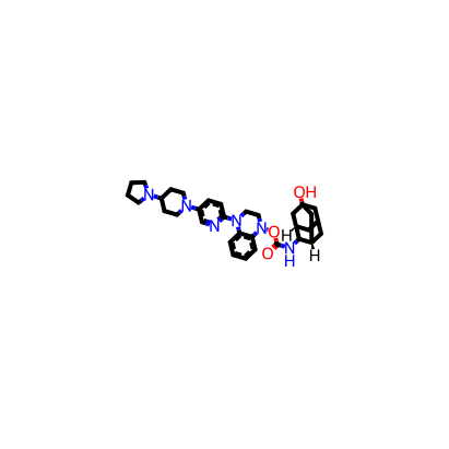 O=C(NC1[C@@H]2CC3C[C@H]1CC(O)(C3)C2)ON1CCN(c2ccc(N3CCC(N4CCCC4)CC3)cn2)c2ccccc21